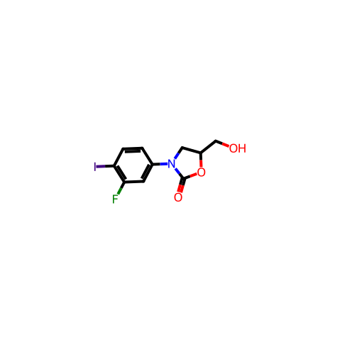 O=C1OC(CO)CN1c1ccc(I)c(F)c1